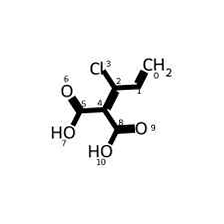 C=CC(Cl)=C(C(=O)O)C(=O)O